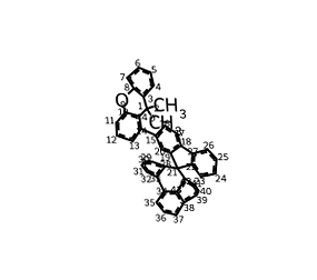 CC1(C)c2ccccc2Oc2cccc(-c3ccc4c(c3)C3(c5ccccc5-4)c4ccccc4-c4cccc5cccc3c45)c21